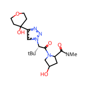 CNC(=O)C1CC(O)CN1C(=O)[C@@H](n1cc(C2(O)CCOCC2)nn1)C(C)(C)C